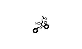 CC(=O)OC[C@@H](O)C(OCc1ccccc1)c1ccccc1Cl